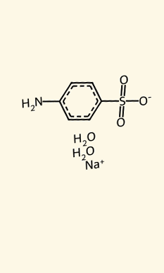 Nc1ccc(S(=O)(=O)[O-])cc1.O.O.[Na+]